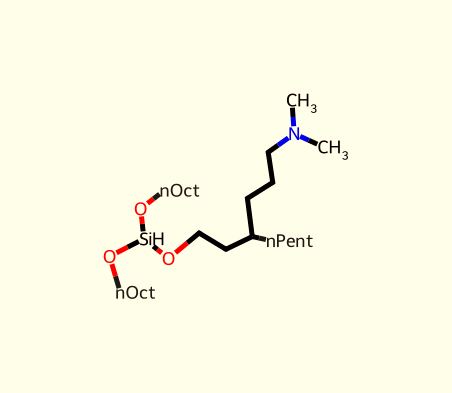 CCCCCCCCO[SiH](OCCCCCCCC)OCCC(CCCCC)CCCN(C)C